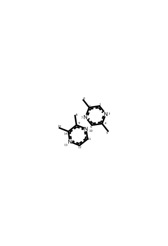 Cc1cnc(C)cn1.Cc1nccnc1C